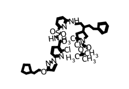 CC(C)(C)OC(=O)N1CC(C(CCNc2cccc(S(=O)(=O)NC(=O)c3ccc(-n4ccc(OCCC5CCCC5)n4)nc3Cl)n2)CCc2ccccc2)CC1(C)C